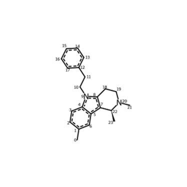 Cc1ccc2c(c1)c1c(n2CCc2ccccc2)CCN(C)[C@H]1C